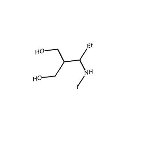 CCC(NI)C(CO)CO